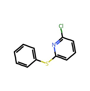 Clc1cccc(Sc2ccccc2)n1